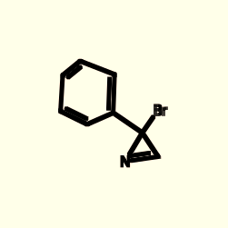 BrC1(c2ccccc2)C=N1